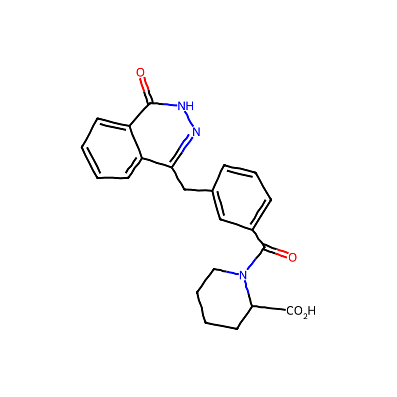 O=C(O)C1CCCCN1C(=O)c1cccc(Cc2n[nH]c(=O)c3ccccc23)c1